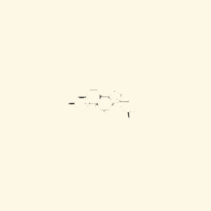 CCCC(=O)O[C@]1(C(=O)C(=O)O)CC[C@H]2[C@@H]3CCC4=CC(=O)CC[C@]4(C)[C@H]3[C@@H](O)C[C@@]21C